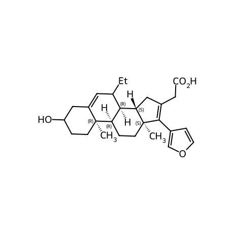 CCC1C=C2CC(O)CC[C@]2(C)[C@@H]2CC[C@]3(C)C(c4ccoc4)=C(CC(=O)O)C[C@H]3[C@H]12